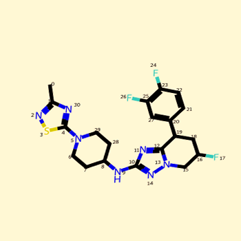 Cc1nsc(N2CCC(Nc3nc4n(n3)CC(F)CC4c3ccc(F)c(F)c3)CC2)n1